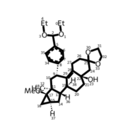 CCOC(OCC)c1ccc([C@H]2C[C@@]3(C)[C@@H](C[C@H]4C[C@@]43OC)[C@@H]3CC[C@@]4(O)CC5(CCC4=C32)OCCO5)cc1